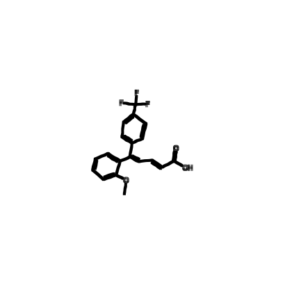 COc1ccccc1C(=CC=CC(=O)O)c1ccc(C(F)(F)F)cc1